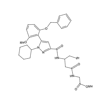 COC(=O)CNC(=O)CC(CC(C)C)NC(=O)c1cc(-c2c(OC)cccc2OCc2ccccc2)n(C2CCCCC2)n1